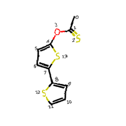 CC(=S)Oc1ccc(-c2cccs2)s1